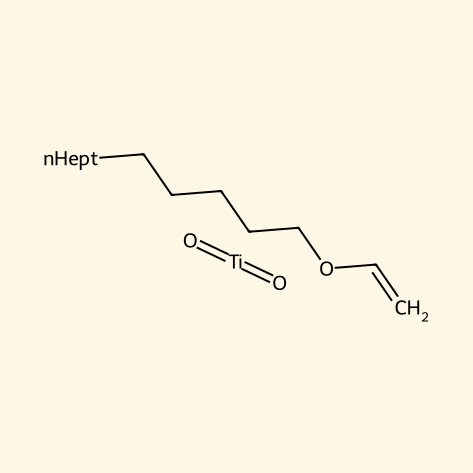 C=COCCCCCCCCCCCC.[O]=[Ti]=[O]